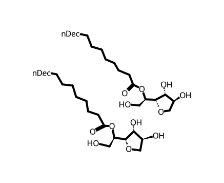 CCCCCCCCCCCCCCCCCC(=O)O[C@H](CO)[C@H]1OC[C@H](O)[C@H]1O.CCCCCCCCCCCCCCCCCC(=O)O[C@H](CO)[C@H]1OC[C@H](O)[C@H]1O